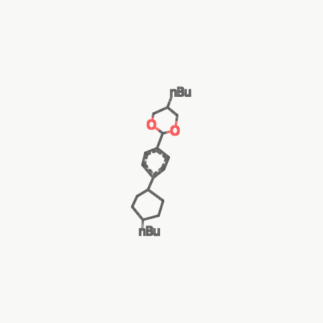 CCCCC1CCC(c2ccc(C3OCC(CCCC)CO3)cc2)CC1